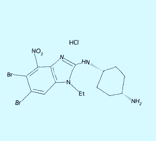 CCn1c(N[C@H]2CC[C@@H](N)CC2)nc2c([N+](=O)[O-])c(Br)c(Br)cc21.Cl